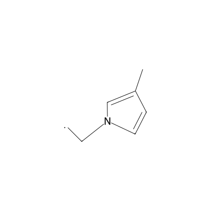 [CH2]Cn1ccc(C)c1